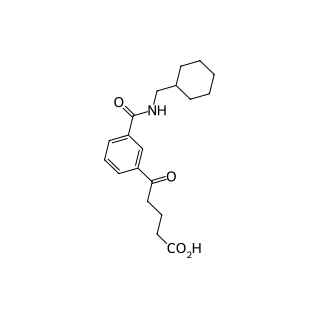 O=C(O)CCCC(=O)c1cccc(C(=O)NCC2CCCCC2)c1